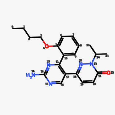 CCCCOc1ccccc1-c1nc(N)ncc1-c1ccc(=O)n(C(C)C)n1